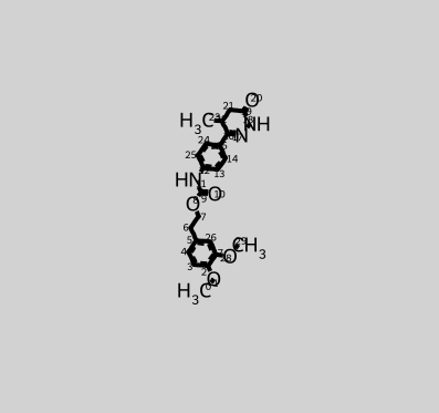 COc1ccc(CCOC(=O)Nc2ccc(C3=NNC(=O)CC3C)cc2)cc1OC